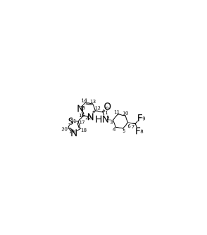 O=C(N[C@H]1CC[C@H](C(F)F)CC1)c1ccnc(-c2cncs2)n1